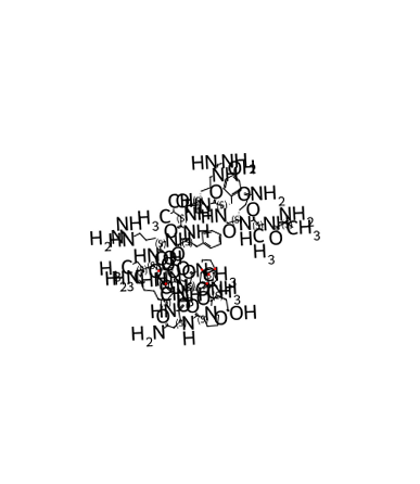 CC[C@H](C)[C@H](NC(=O)[C@H](CCCNC(=N)N)NC(=O)[C@H](Cc1ccccc1)NC(=O)[C@@H](NC(=O)[C@H](CCCNC(=N)N)NC(=O)[C@H](Cc1ccc(O)cc1)NC(=O)[C@H](CCC(N)=O)NC(=O)[C@H](C)NC(=O)[C@H](C)N)C(C)C)C(=O)N[C@@H](C)C(=O)N[C@@H](CC(C)C)C(=O)N1CCC[C@H]1C(=O)N[C@@H](CC(=O)O)C(=O)N1CCC[C@H]1C(=O)N[C@@H](CC(N)=O)C(=O)N[C@@H](CCCCN)C(=O)N[C@@H](Cc1ccccc1)C(=O)NCC(=O)O